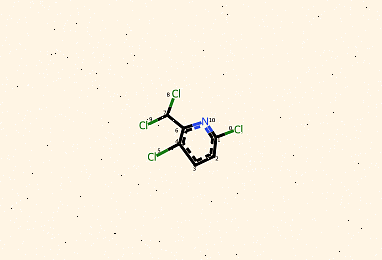 Clc1ccc(Cl)c(C(Cl)Cl)n1